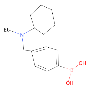 CCN(Cc1ccc(B(O)O)cc1)C1CCCCC1